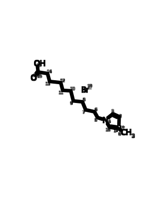 C[n+]1ccn(CCCCCCCCCCC(=O)O)c1.[Br-]